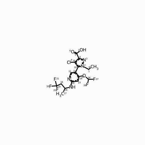 CCn1nc(C(=O)O)c(Cl)c1-c1cnc(NC(C)CC(F)(F)F)cc1OC(F)F